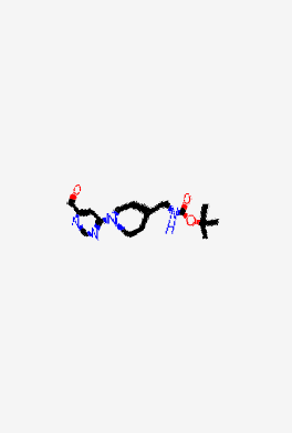 CC(C)(C)OC(=O)NCC1CCN(c2cc(C=O)ncn2)CC1